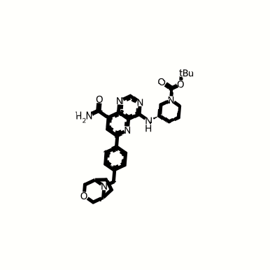 CC(C)(C)OC(=O)N1CCC[C@H](Nc2ncnc3c(C(N)=O)cc(-c4ccc(CN5C6CCC5COC6)cc4)nc23)C1